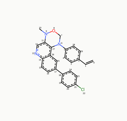 C=Cc1ccc(N2CON(C)c3cnc4ccc(-c5ccc(Cl)cc5)cc4c32)cc1